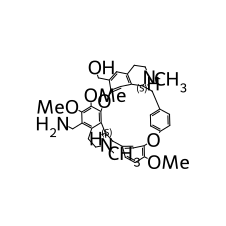 COc1ccc2cc1Oc1ccc(cc1)C[C@H]1c3cc(c(CO)cc3CCN1C)Oc1c(OC)c(OC)c(CN)c3c1[C@H](C2)N(C)CC3